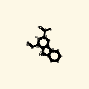 CC(=O)c1cc2c([nH]c3ccccc32)c(C=O)n1